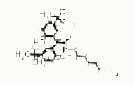 CCCCCCCNC(=O)C(c1cc(C(C)(C)C)ccc1O)c1cc(C(C)(C)C)ccc1O